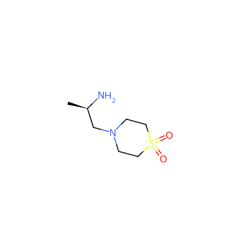 C[C@@H](N)CN1CCS(=O)(=O)CC1